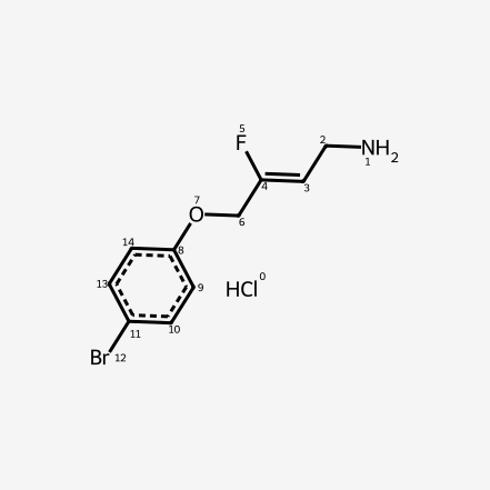 Cl.NCC=C(F)COc1ccc(Br)cc1